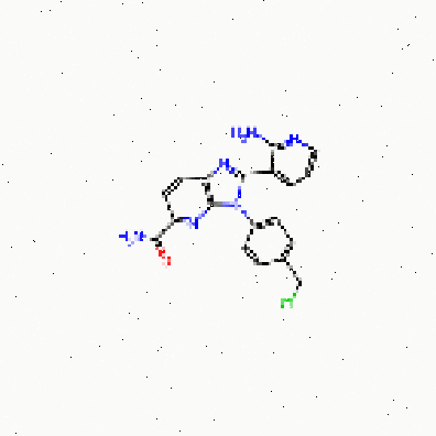 NC(=O)c1ccc2nc(-c3cccnc3N)n(-c3ccc(CCl)cc3)c2n1